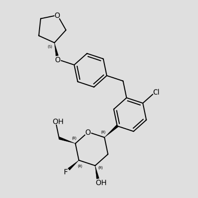 OC[C@H]1O[C@@H](c2ccc(Cl)c(Cc3ccc(O[C@H]4CCOC4)cc3)c2)C[C@@H](O)[C@H]1F